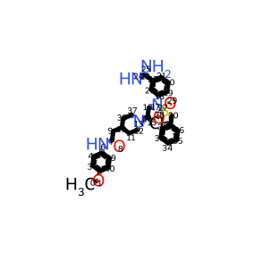 COc1ccc(NC(=O)CC2CCN([C@H](C)CN(c3cccc(C(=N)N)c3)S(=O)(=O)Cc3ccccc3)CC2)cc1